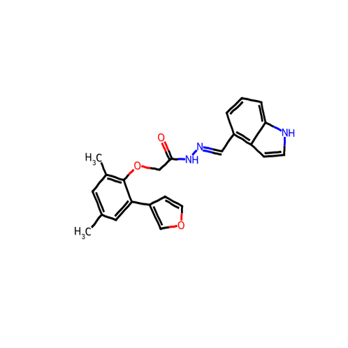 Cc1cc(C)c(OCC(=O)NN=Cc2cccc3[nH]ccc23)c(-c2ccoc2)c1